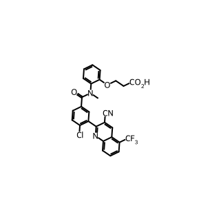 CN(C(=O)c1ccc(Cl)c(-c2nc3cccc(C(F)(F)F)c3cc2C#N)c1)c1ccccc1OCCC(=O)O